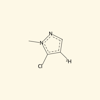 [2H]c1cnn(C)c1Cl